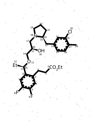 CCOC(=O)CCc1cc(F)c(F)cc1[C@@H](CC)OC[C@H](O)CN1CCC[C@H]1Cc1ccc(C)c(Cl)c1